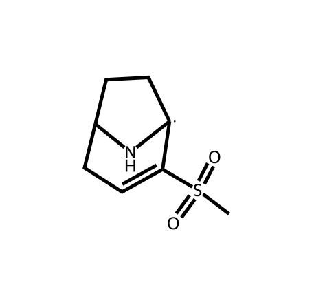 CS(=O)(=O)C1=CCC2CC[C]1N2